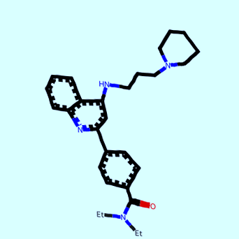 CCN(CC)C(=O)c1ccc(-c2cc(NCCCN3CCCCC3)c3ccccc3n2)cc1